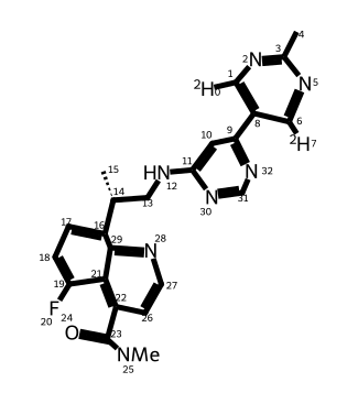 [2H]c1nc(C)nc([2H])c1-c1cc(NC[C@@H](C)c2ccc(F)c3c(C(=O)NC)ccnc23)ncn1